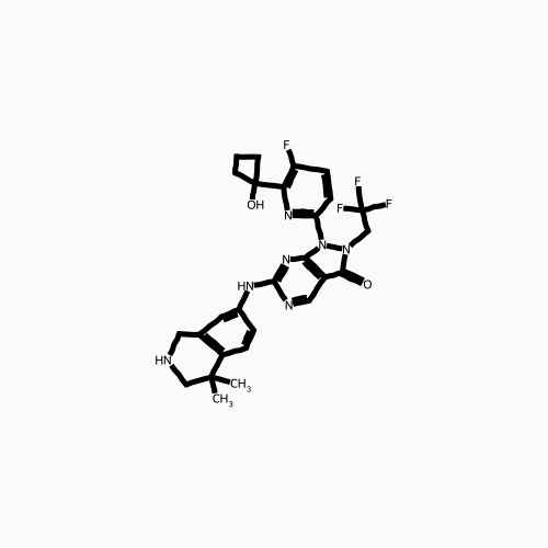 CC1(C)CNCc2cc(Nc3ncc4c(=O)n(CC(F)(F)F)n(-c5ccc(F)c(C6(O)CCC6)n5)c4n3)ccc21